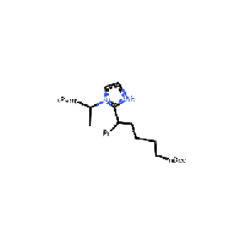 CCCCCCCCCCCCCCC(c1[nH]cc[n+]1C(C)CCCCC)C(C)C